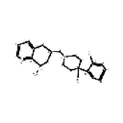 O[C@H]1C[C@H](CN2CCC(F)(c3ccccc3Cl)CC2)Cc2cccnc21